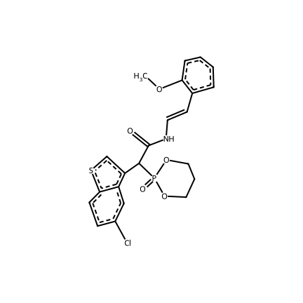 COc1ccccc1C=CNC(=O)C(c1csc2ccc(Cl)cc12)P1(=O)OCCCO1